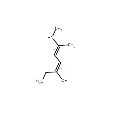 CC/C(O)=C\C=C(/C)NC